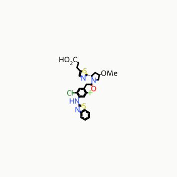 CO[C@H]1C[C@@H](c2ncc(CCC(=O)O)s2)N(C(=O)Cc2cc(Cl)c(Nc3nc4ccccc4s3)cc2F)C1